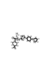 C[C@@H](Nc1nnc(-c2ccc(-n3cccn3)cc2)o1)C(=O)N1CCC2(CC1)CC2